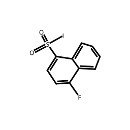 O=S(=O)(I)c1ccc(F)c2ccccc12